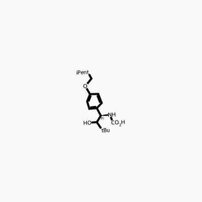 CCCC(C)COc1ccc([C@@H](NC(=O)O)C(O)C(C)(C)C)cc1